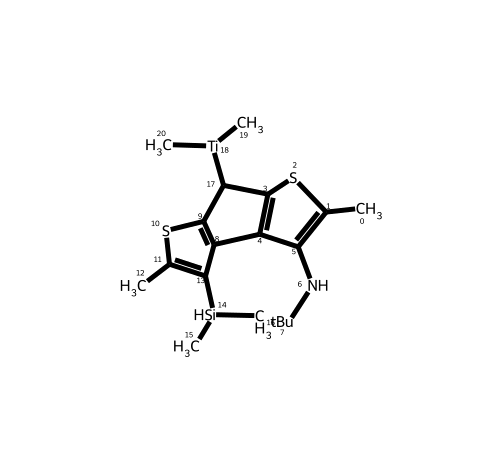 Cc1sc2c(c1NC(C)(C)C)-c1c(sc(C)c1[SiH](C)C)[CH]2[Ti]([CH3])[CH3]